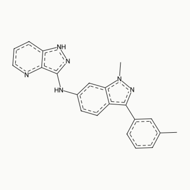 Cc1cccc(-c2nn(C)c3cc(Nc4n[nH]c5cccnc45)ccc23)c1